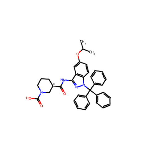 CC(C)Oc1ccc2c(c1)c(NC(=O)[C@@H]1CCCN(C(=O)O)C1)nn2C(c1ccccc1)(c1ccccc1)c1ccccc1